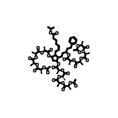 CC(=O)O[C@@H](C)C(=O)O[C@@H](C)C(=O)O[C@@H](C)C(=O)O[C@@H](C)C(=O)OC(CCc1ccccc1)CCC1C(OC(=O)[C@H](C)OC(=O)[C@H](C)OC(=O)[C@H](C)OC(=O)[C@H](C)OC(C)=O)CC(OC(=O)[C@H](C)OC(=O)[C@H](C)OC(=O)[C@H](C)OC(=O)[C@H](C)OC(C)=O)C1C/C=C\CCCC(=O)OC(C)C